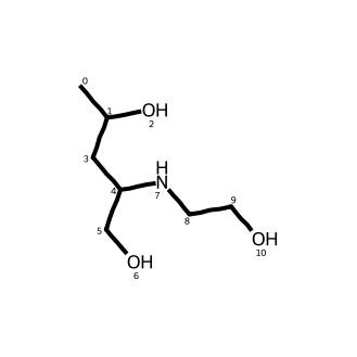 CC(O)CC(CO)NCCO